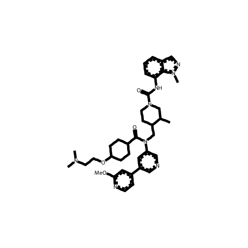 COc1cc(-c2cncc(N(CC3CCN(C(=O)Nc4cccc5cnn(C)c45)CC3C)C(=O)C3CCC(OCCN(C)C)CC3)c2)ccn1